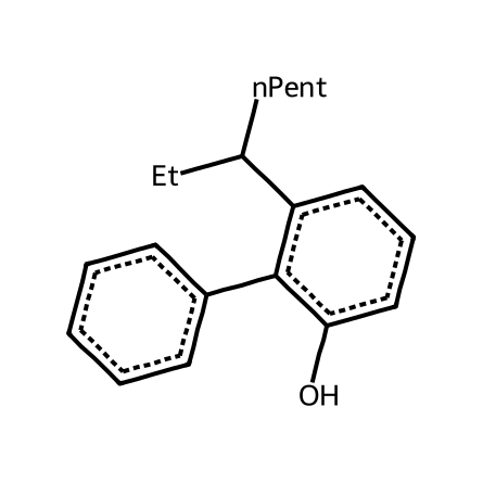 CCCCCC(CC)c1cccc(O)c1-c1ccccc1